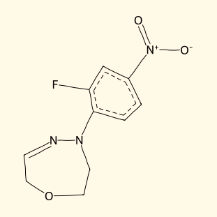 O=[N+]([O-])c1ccc(N2CCOCC=N2)c(F)c1